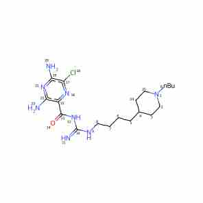 CCCCN1CCC(CCCCNC(=N)NC(=O)c2nc(Cl)c(N)nc2N)CC1